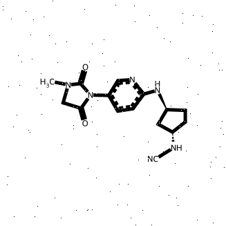 CN1CC(=O)N(c2ccc(N[C@H]3CC[C@H](NC#N)C3)nc2)C1=O